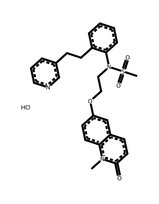 Cl.Cn1c(=O)ccc2cc(OCCN(c3ccccc3CCc3cccnc3)S(C)(=O)=O)ccc21